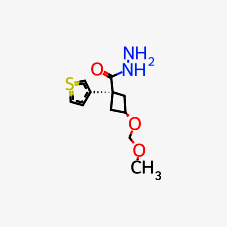 COCO[C@H]1C[C@](C(=O)NN)(c2ccsc2)C1